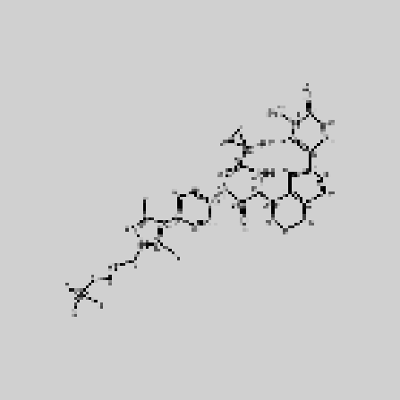 Cc1nn(COCC[Si](C)(C)C)c(C)c1-c1ccc(NC(=O)C(NC(=O)C2(F)CC2)[C@@H]2CCCc3ccc(-c4ccc(=O)n(C(C)C)c4)cc32)cc1